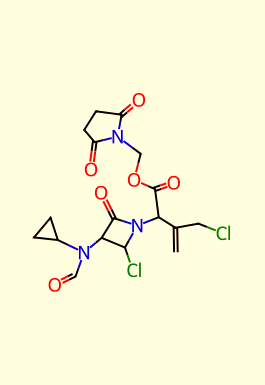 C=C(CCl)C(C(=O)OCN1C(=O)CCC1=O)N1C(=O)C(N(C=O)C2CC2)C1Cl